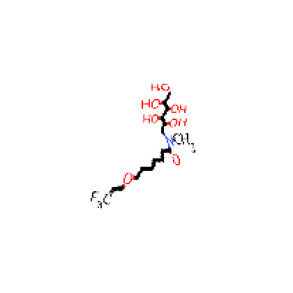 CN(CC(O)C(O)C(O)C(O)CO)C(=O)CCCCCCOCCC(F)(F)F